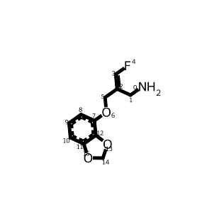 NC/C(=C\F)COc1cccc2c1OCO2